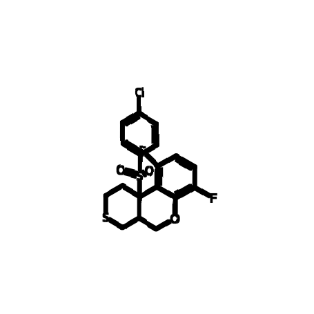 O=S(=O)(c1ccc(Cl)cc1)C12CCSCC1COc1c(F)ccc(F)c12